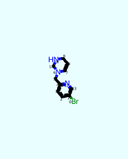 Brc1ccc(CN2C=CCNC2)nc1